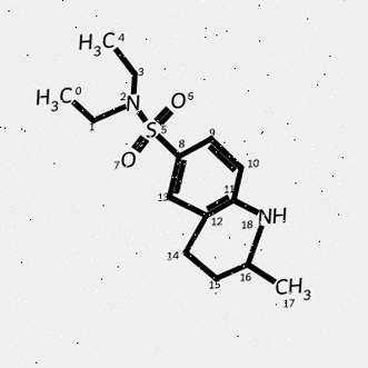 CCN(CC)S(=O)(=O)c1ccc2c(c1)CCC(C)N2